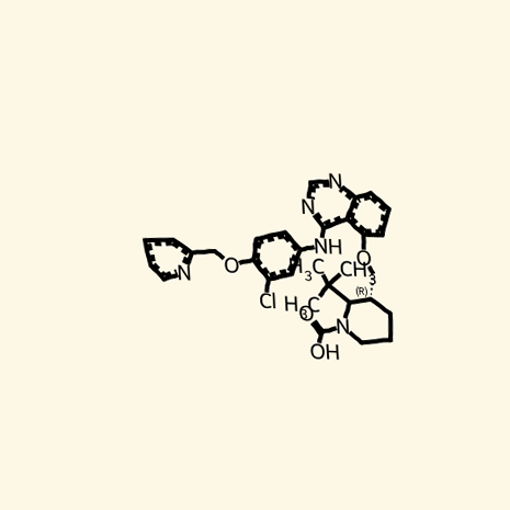 CC(C)(C)C1[C@H](COc2cccc3ncnc(Nc4ccc(OCc5ccccn5)c(Cl)c4)c23)CCCN1C(=O)O